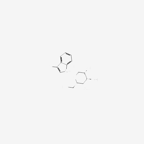 OC[C@H]1O[C@H](O)[C@@H](O)[C@@H](O)[C@@H]1O.Oc1c[nH]c2ccccc12